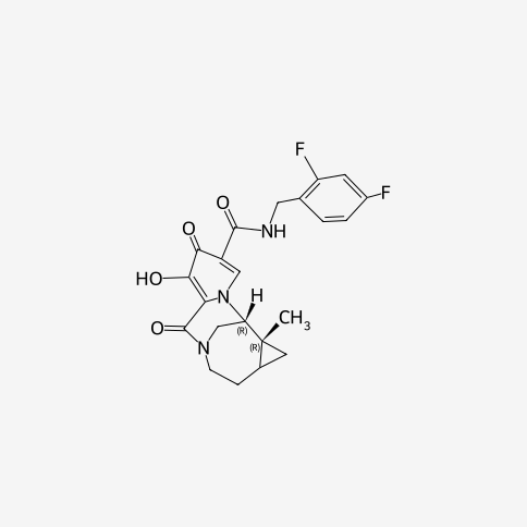 C[C@@]12CC1CCN1C[C@@H]2n2cc(C(=O)NCc3ccc(F)cc3F)c(=O)c(O)c2C1=O